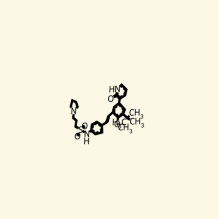 COc1c(/C=C/c2ccc(NS(=O)(=O)CCCN3CCCC3)cc2)cc(-c2ccc[nH]c2=O)cc1C(C)(C)C